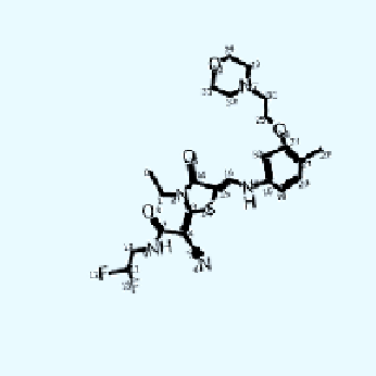 CCn1c(=C(C#N)C(=O)NCC(F)F)sc(=CNc2ccc(C)c(OCCN3CCOCC3)c2)c1=O